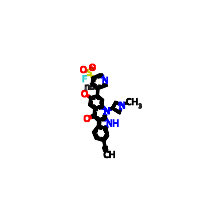 C#Cc1ccc2c(c1)[nH]c1c2c(=O)c2cc(OCCCC)c(-c3cncc(S(=O)(=O)F)c3)cc2n1C1CN(C)C1